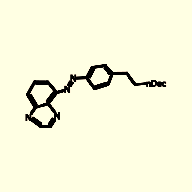 CCCCCCCCCCCCc1ccc(N=Nc2cccc3nccnc23)cc1